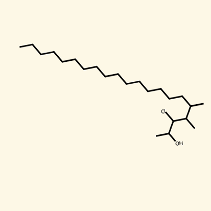 CCCCCCCCCCCCCCCCC(C)[C](C)C(Cl)C(C)O